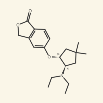 CCN(CC)[C@@H]1CC(C)(C)C[C@H]1Oc1ccc2c(c1)COC2=O